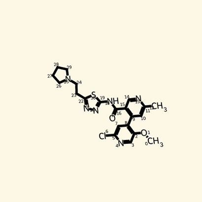 COc1cnc(Cl)cc1-c1cc(C)ncc1C(=O)Nc1nnc(CCN2CCCC2)s1